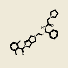 Cc1cccc(C)c1C(=O)N1C=C2CN(CC[C@H](NC(=O)CN3CCCC3)c3ccccc3)CC2C1